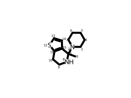 CC1(N2CCCCC2)NCCc2sccc21